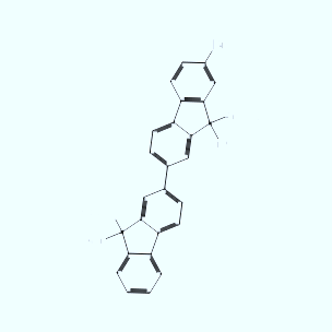 CCCCCCCCC1(CCCCCCCC)c2ccccc2-c2ccc(-c3ccc4c(c3)C(CCCCCCCC)(CCCCCCCC)c3cc(Br)ccc3-4)cc21